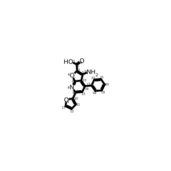 Nc1c(C(=O)O)oc2nc(-c3ccco3)cc(-c3ccccc3)c12